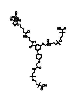 CC(C)(CCNC(=O)COc1ccc(-c2cc(OCC(=O)NCCC(C)(C)OCCC(C)(C)C(=O)O)cc(C(=O)NCCNC(=O)CCCC[C@@H]3SC[C@@H]4NC(=O)N[C@@H]43)c2)cc1)OCCC(C)(C)C(=O)O